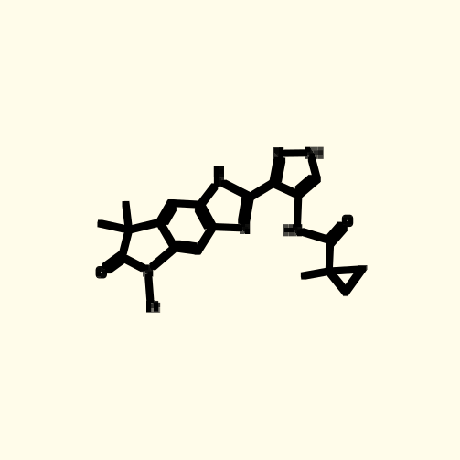 CCN1C(=O)C(C)(C)c2cc3[nH]c(-c4n[nH]cc4NC(=O)C4(C)CC4)nc3cc21